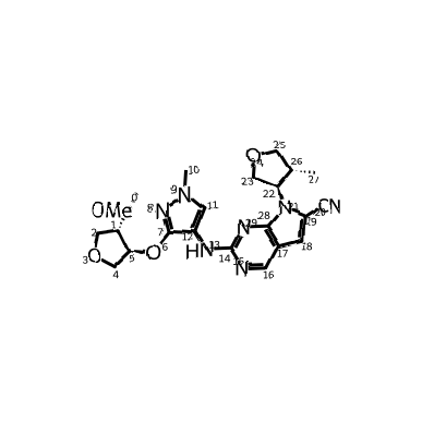 CO[C@H]1COC[C@@H]1Oc1nn(C)cc1Nc1ncc2cc(C#N)n([C@H]3COC[C@@H]3C)c2n1